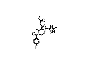 CCC(=O)Cc1nc(-c2nc(C)ns2)n2c1C(C)N(C(=O)c1ccc(F)cc1)CC2